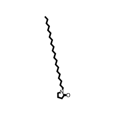 CCCCCCCCCCCCCCCCCCCCCCN1CCCC1=O